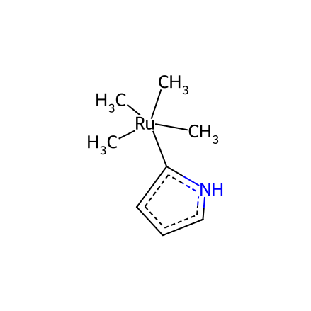 [CH3][Ru]([CH3])([CH3])([CH3])[c]1ccc[nH]1